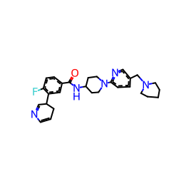 O=C(NC1CCN(c2ccc(CN3CCCCC3)cn2)CC1)c1ccc(F)c(C2C=NC=CC2)c1